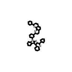 c1ccc(-c2ccc3ccc4ccc(-c5cccc(-n6c7ccccc7c7c8c(sc76)c(-c6ccccc6)nc6ccccc68)c5)nc4c3n2)cc1